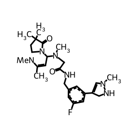 CN/C(C)=C\C(N(C)CC(=O)NCc1cc(F)cc(C2=CN(C)NC2)c1)N1CCC(C)(C)C1=O